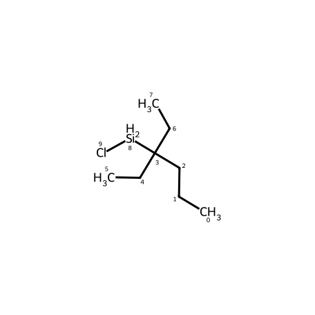 CCCC(CC)(CC)[SiH2]Cl